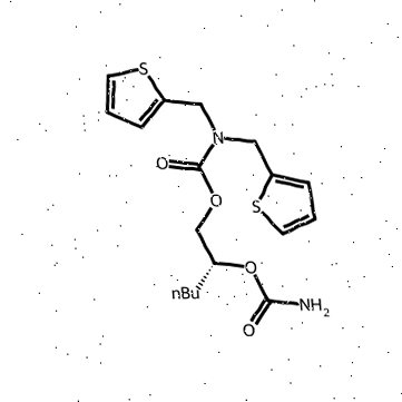 CCCC[C@H](COC(=O)N(Cc1cccs1)Cc1cccs1)OC(N)=O